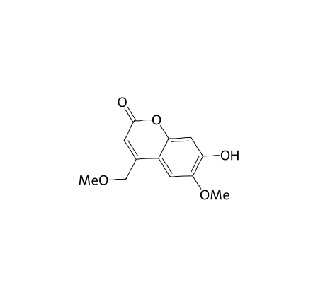 COCc1cc(=O)oc2cc(O)c(OC)cc12